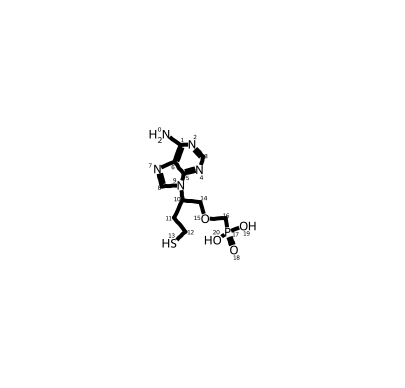 Nc1ncnc2c1ncn2C(CCS)COCP(=O)(O)O